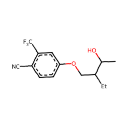 CCC(COc1ccc(C#N)c(C(F)(F)F)c1)C(C)O